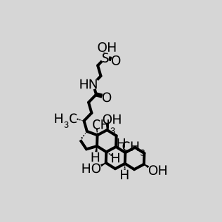 C[C@H](CCC(=O)NCCS(=O)O)[C@H]1CC[C@H]2[C@@H]3[C@H](O)C[C@@H]4C[C@H](O)CC[C@]4(C)[C@H]3C[C@H](O)[C@]12C